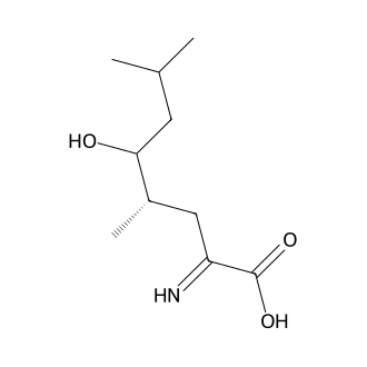 CC(C)CC(O)[C@@H](C)CC(=N)C(=O)O